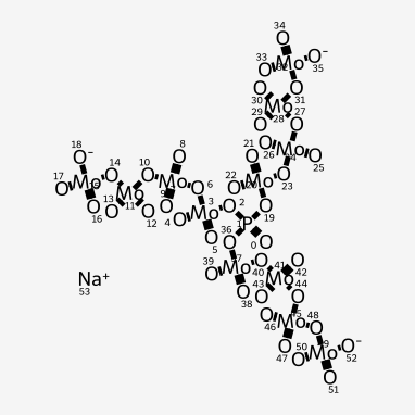 O=P([O][Mo](=[O])(=[O])[O][Mo](=[O])(=[O])[O][Mo](=[O])(=[O])[O][Mo](=[O])(=[O])[O-])([O][Mo](=[O])(=[O])[O][Mo](=[O])(=[O])[O][Mo](=[O])(=[O])[O][Mo](=[O])(=[O])[O-])[O][Mo](=[O])(=[O])[O][Mo](=[O])(=[O])[O][Mo](=[O])(=[O])[O][Mo](=[O])(=[O])[O-].[Na+]